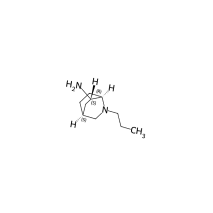 CCCN1C[C@H]2CC[C@@H]1[C@@H](N)C2